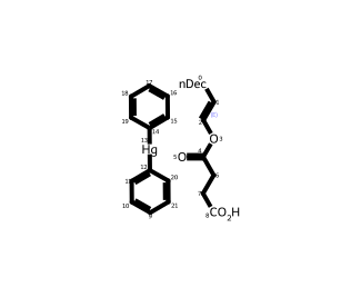 CCCCCCCCCC/C=C/OC(=O)CCC(=O)O.c1cc[c]([Hg][c]2ccccc2)cc1